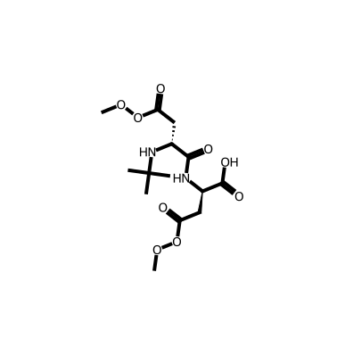 COOC(=O)C[C@@H](NC(=O)[C@@H](CC(=O)OOC)NC(C)(C)C)C(=O)O